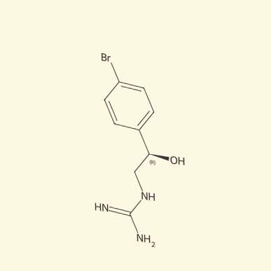 N=C(N)NC[C@H](O)c1ccc(Br)cc1